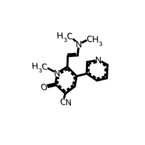 CN(C)C=Cc1c(-c2cccnc2)cc(C#N)c(=O)n1C